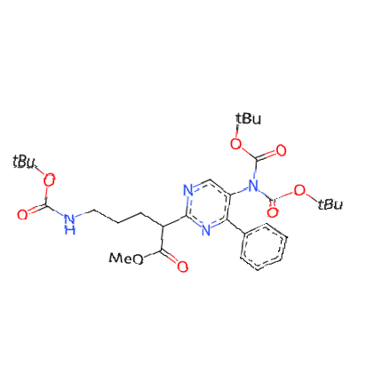 COC(=O)C(CCCNC(=O)OC(C)(C)C)c1ncc(N(C(=O)OC(C)(C)C)C(=O)OC(C)(C)C)c(-c2ccccc2)n1